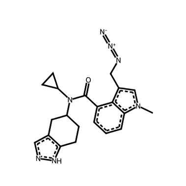 Cn1cc(CN=[N+]=[N-])c2c(C(=O)N(C3CC3)C3CCc4[nH]ncc4C3)cccc21